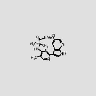 CNC(=O)C(C)(C)Nc1nc(-c2c[nH]c3ncc(Cl)cc23)ncc1C